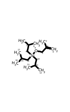 C=C(C)CO[Si](CC(C)C)(CC(C)C)CC(C)C